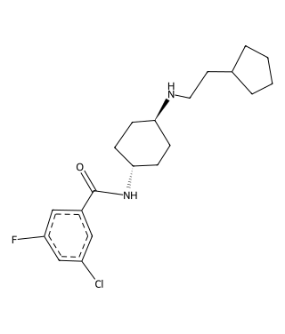 O=C(N[C@H]1CC[C@H](NCCC2CCCC2)CC1)c1cc(F)cc(Cl)c1